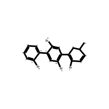 CC1C=CC(Br)=C(c2cc(Br)c(-c3ccccc3Br)cc2Br)C1